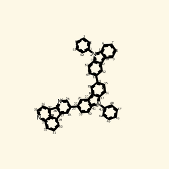 c1ccc(-n2c3ccccc3c3cc(-c4ccc5c(c4)c4cc(-c6cnc7c(c6)-c6cccc8nccc-7c68)ccc4n5-c4ccccc4)ccc32)cc1